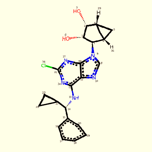 O[C@@H]1[C@H](O)[C@@H]2C[C@@H]2[C@H]1n1cnc2c(N[C@H](c3ccccc3)C3CC3)nc(Cl)nc21